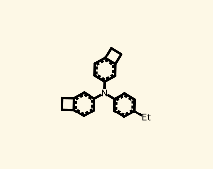 CCc1ccc(N(c2ccc3c(c2)CC3)c2ccc3c(c2)CC3)cc1